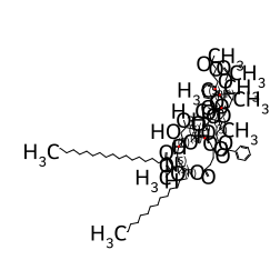 CCCCCCCCCCCCCCCCCC(=O)N[C@H]1CO[C@@H]2O[C@@H](COC(=O)CCC(=O)O[C@H](CCCCCCCCCCCCCC)[C@H]1OC(C)=O)[C@@H](O[C@@H]1OC(COC(=O)c3ccccc3)[C@H](C)[C@H](O[C@]3(C(=O)OC)CC(C)[C@@H](C)[C@H]([C@H](C)C(COC(C)=O)OC(C)=O)O3)C1OC(=O)c1ccccc1)C(O)C2O